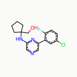 OCC1(Nc2cncc(-c3cc(Cl)ccc3F)n2)CCCC1